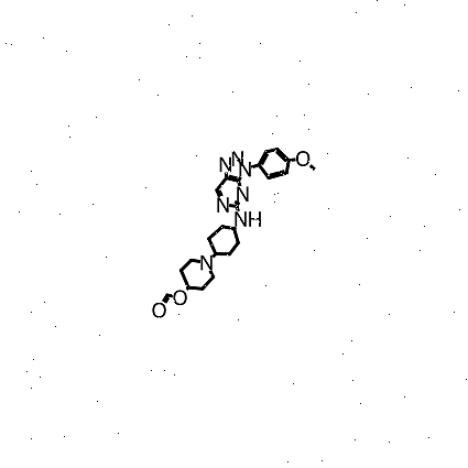 COc1ccc(-n2nnc3cnc(NC4CCC(N5CCC(OC=O)CC5)CC4)nc32)cc1